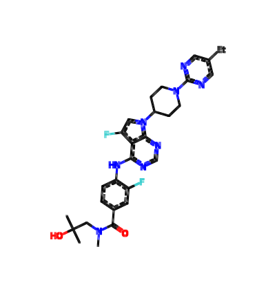 CCc1cnc(N2CCC(n3cc(F)c4c(Nc5ccc(C(=O)N(C)CC(C)(C)O)cc5F)ncnc43)CC2)nc1